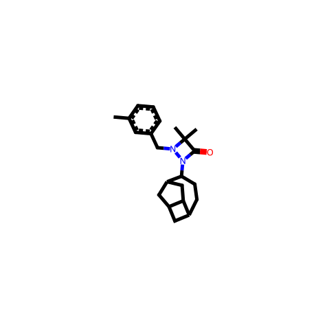 Cc1cccc(CN2N(C3CCC4CC5CC3CC45)C(=O)C2(C)C)c1